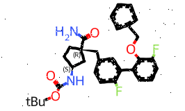 CC(C)(C)OC(=O)N[C@H]1CC[C@](Cc2ccc(F)c(-c3cccc(F)c3OCc3ccccc3)c2)(C(N)=O)C1